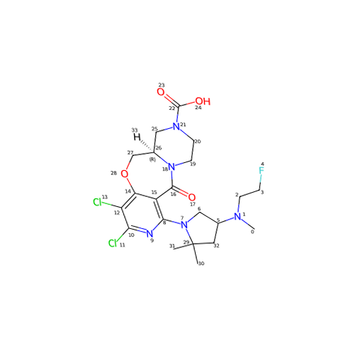 CN(CCF)C1CN(c2nc(Cl)c(Cl)c3c2C(=O)N2CCN(C(=O)O)C[C@@H]2CO3)C(C)(C)C1